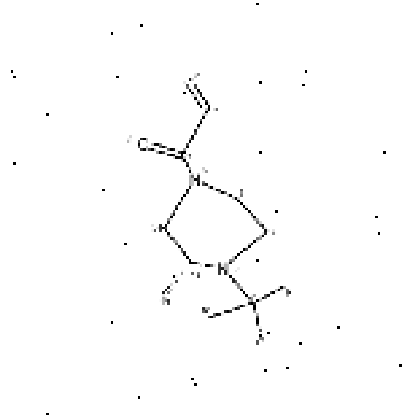 C=CC(=O)N1CCN(C(C)(C)C)[C@H](C)C1